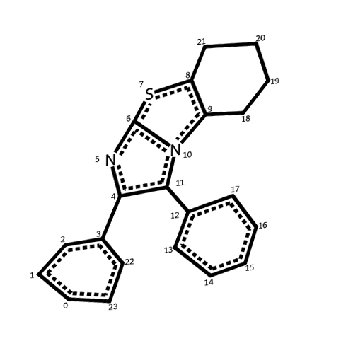 c1ccc(-c2nc3sc4c(n3c2-c2ccccc2)CCCC4)cc1